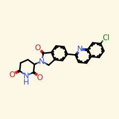 O=C1CCC(N2Cc3cc(-c4ccc5ccc(Cl)cc5n4)ccc3C2=O)C(=O)N1